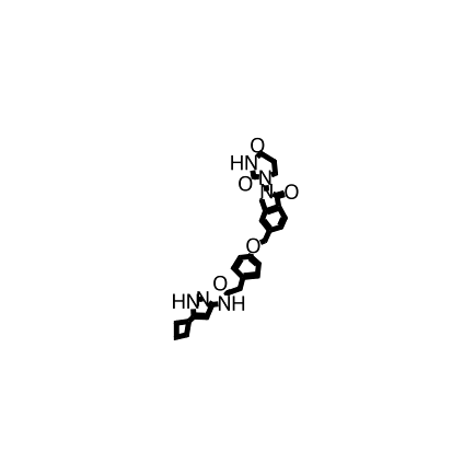 O=C1CCN(N2Cc3cc(COc4ccc(CC(=O)Nc5cc(C6CCC6)[nH]n5)cc4)ccc3C2=O)C(=O)N1